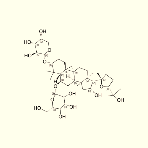 CC(C)(O)[C@H]1CC[C@@](C)([C@@H]2[C@H](O)CC3(C)[C@H]4C[C@@H](O[C@H]5O[C@@H](CO)C(O)[C@@H](O)C5O)[C@@H]5C(C)(C)[C@H](O[C@H]6OC[C@H](O)[C@@H](O)[C@@H]6O)CC[C@]56C[C@]46CC[C@@]23C)O1